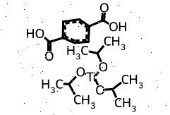 CC(C)[O][Ti]([O]C(C)C)[O]C(C)C.O=C(O)c1ccc(C(=O)O)cc1